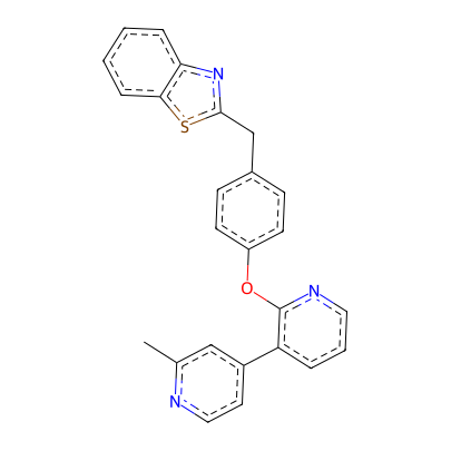 Cc1cc(-c2cccnc2Oc2ccc(Cc3nc4ccccc4s3)cc2)ccn1